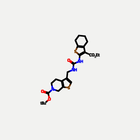 CCOC(=O)c1c(NC(=O)NCc2csc3c2CCN(C(=O)OC(C)(C)C)C3)sc2c1CCCC2